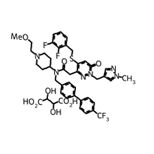 COCCN1CCC(N(Cc2ccc(-c3ccc(C(F)(F)F)cc3)cc2)C(=O)Cc2nn(Cc3cnn(C)c3)c(=O)cc2SCc2cccc(F)c2F)CC1.O=C(O)C(O)C(O)C(=O)O